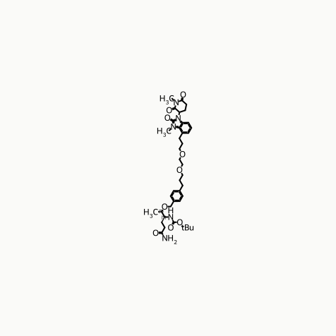 C[C@@H](OCc1ccc(CCCOCCOCCCc2cccc3c2n(C)c(=O)n3C2CCC(=O)N(C)C2=O)cc1)[C@H](CCC(N)=O)NC(=O)OC(C)(C)C